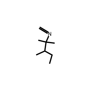 C=NC(C)(C)C(C)CC